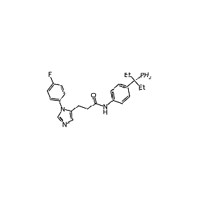 CCC(P)(CC)c1ccc(NC(=O)CCc2cncn2-c2ccc(F)cc2)cc1